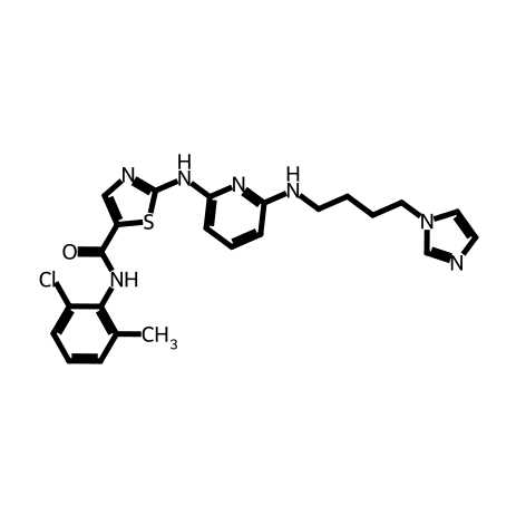 Cc1cccc(Cl)c1NC(=O)c1cnc(Nc2cccc(NCCCCn3ccnc3)n2)s1